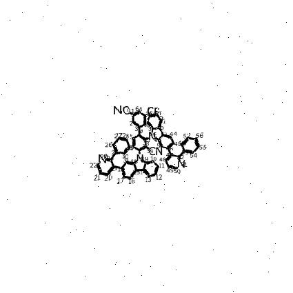 N#Cc1cc(-c2ccc(-n3c4ccccc4c4ccc(-c5cccnc5-c5ccccc5)cc43)c(C#N)c2-n2c3ccccc3c3ccc(-c4cccnc4-c4ccccc4)cc32)cc(C(F)(F)F)c1